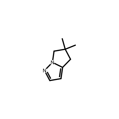 CC1(C)Cc2ccnn2C1